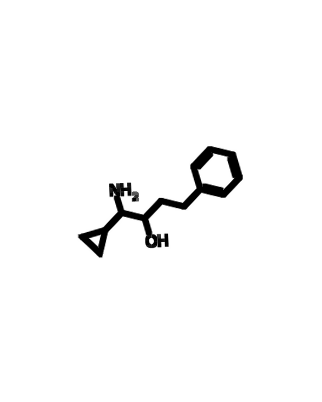 NC(C(O)CCc1ccccc1)C1CC1